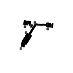 N.N#CCO